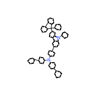 c1ccc(-c2ccc(N(c3ccc(-c4ccccc4)cc3)c3ccc(-c4ccc5c(c4)c4ccc(C6(c7ccccc7)c7ccccc7-c7ccccc76)cc4n5-c4ccccc4)cc3)cc2)cc1